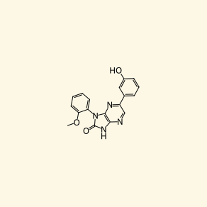 COc1ccccc1-n1c(=O)[nH]c2ncc(-c3cccc(O)c3)nc21